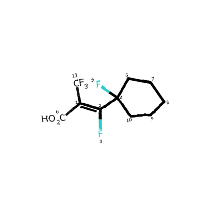 O=C(O)C(=C(F)C1(F)CCCCC1)C(F)(F)F